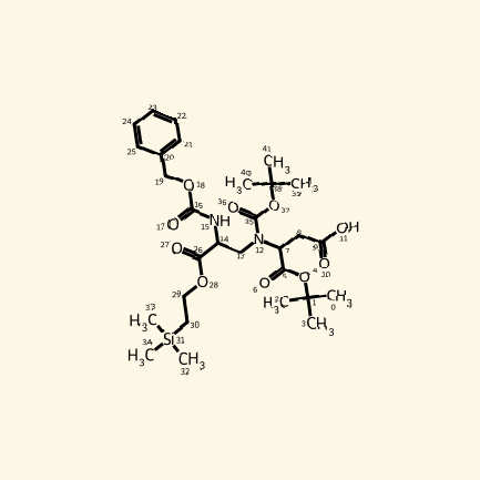 CC(C)(C)OC(=O)C(CC(=O)O)N(CC(NC(=O)OCc1ccccc1)C(=O)OCC[Si](C)(C)C)C(=O)OC(C)(C)C